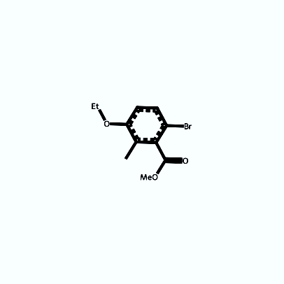 CCOc1ccc(Br)c(C(=O)OC)c1C